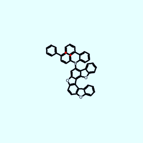 c1ccc(-c2ccc(N(c3ccccc3-c3ccccc3)c3cc4oc5ccc6oc7ccccc7c6c5c4c4oc5ccccc5c34)cc2)cc1